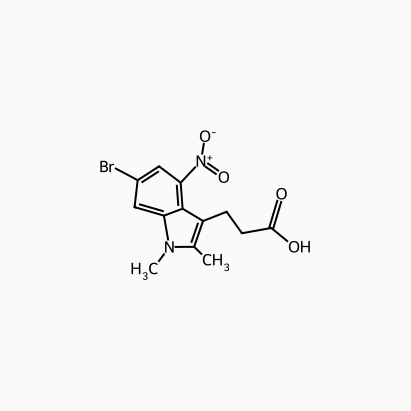 Cc1c(CCC(=O)O)c2c([N+](=O)[O-])cc(Br)cc2n1C